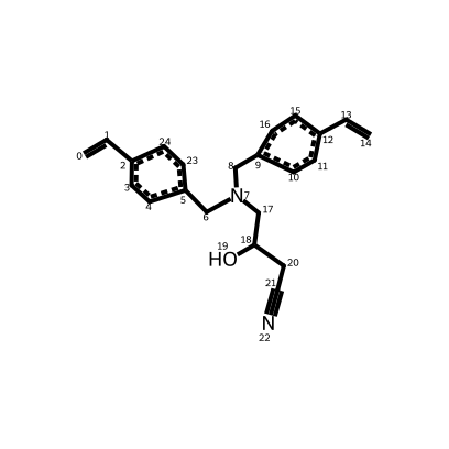 C=Cc1ccc(CN(Cc2ccc(C=C)cc2)CC(O)CC#N)cc1